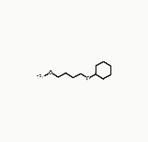 CC(C)(C)OCC[CH]COC1CCCCC1